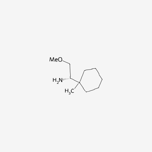 COC[C@@H](N)C1(C)CCCCC1